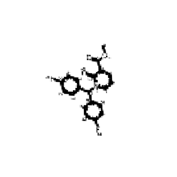 COC(=O)c1cccn(C(c2ccc(F)cc2)c2ccc(F)cc2)c1=O